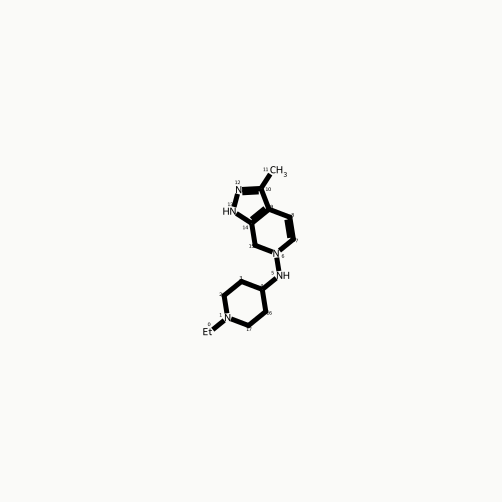 CCN1CCC(NN2C=Cc3c(C)n[nH]c3C2)CC1